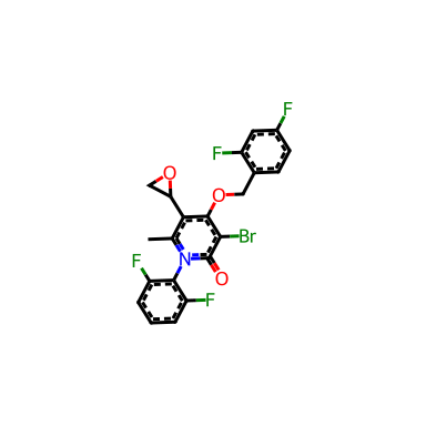 Cc1c(C2CO2)c(OCc2ccc(F)cc2F)c(Br)c(=O)n1-c1c(F)cccc1F